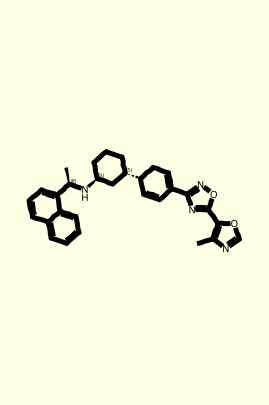 Cc1ncoc1-c1nc(C2=CCC([C@H]3CCC[C@H](N[C@H](C)c4cccc5ccccc45)C3)C=C2)no1